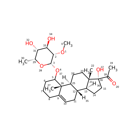 CO[C@@H]1[C@H](OC2CCCC3=CC[C@H]4[C@@H]5CC[C@](O)(C(C)=O)[C@@]5(C)CC[C@@H]4[C@]32C)O[C@H](C)[C@H](O)[C@H]1O